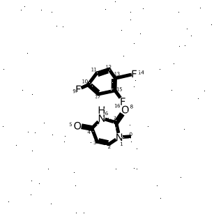 Cn1ccc(=O)[nH]c1=O.Fc1ccc(F)c(F)c1